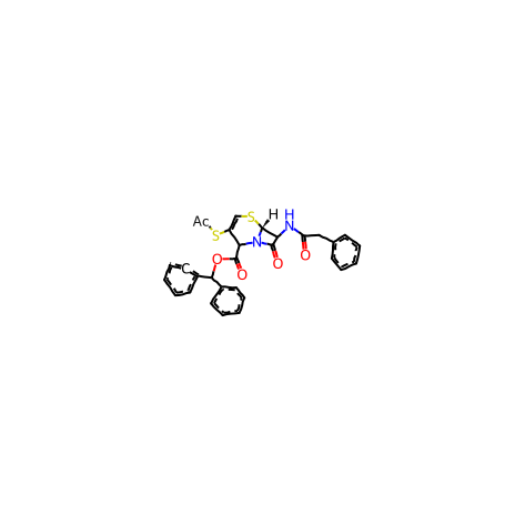 CC(=O)SC1=CS[C@@H]2C(NC(=O)Cc3ccccc3)C(=O)N2C1C(=O)OC(c1ccccc1)c1ccccc1